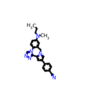 CCCN(C)c1ccc2c(c1)Cn1cc(-c3ccc(C#N)cc3)cc1-c1nncn1-2